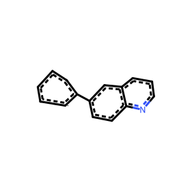 [c]1ccccc1-c1ccc2ncccc2c1